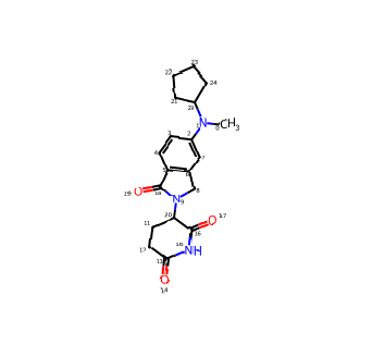 CN(c1ccc2c(c1)CN(C1CCC(=O)NC1=O)C2=O)C1CCCC1